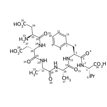 CC(C)[C@H](NC(=O)[C@H](Cc1ccccc1)NC(=O)[C@H](C)NC(=O)[C@H](C)NC(=O)[C@H](CC(=O)O)NC(=O)[C@@H](N)CC(=O)O)C(=O)O